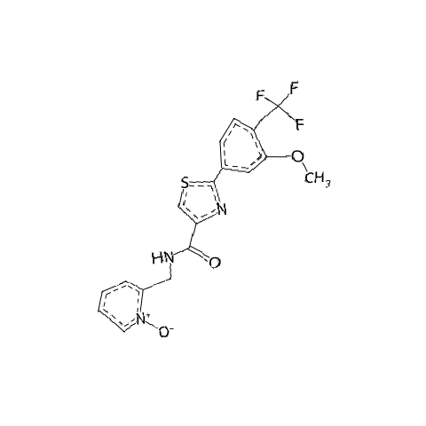 COc1cc(-c2nc(C(=O)NCc3cccc[n+]3[O-])cs2)ccc1C(F)(F)F